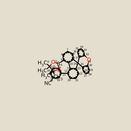 CC1(C)OB(c2cccc3c2-c2c(-c4cccc(C#N)c4)cccc2C32c3ccccc3Oc3ccccc32)OC1(C)C